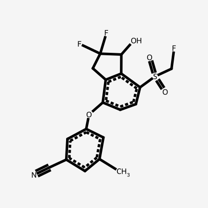 Cc1cc(C#N)cc(Oc2ccc(S(=O)(=O)CF)c3c2CC(F)(F)C3O)c1